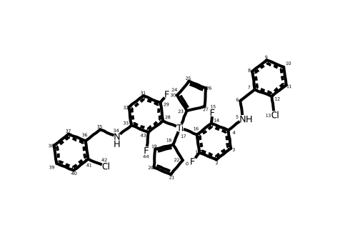 Fc1ccc(NCc2ccccc2Cl)c(F)[c]1[Ti]([C]1=CC=CC1)([C]1=CC=CC1)[c]1c(F)ccc(NCc2ccccc2Cl)c1F